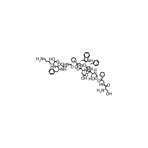 NCCCC[C@H](NC(=O)[C@H](Cc1ccccc1)NC(=O)CNC(=O)[C@@H]1CCCN1C(=O)[C@H](Cc1c[nH]c2ccccc12)NC(=O)[C@H](CC(=O)O)NC(=O)[C@H](Cc1ccccc1)NC(=O)[C@H](CO)NC(=O)[C@@H]1CCCN1C(=O)CNC(=O)[C@@H](N)CO)C(=O)O